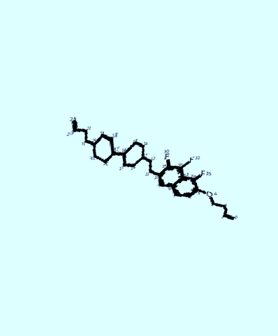 CCCCOc1ccc2cc(CCC3CCC(C4CCC(CCCC)CC4)CC3)c(F)c(F)c2c1F